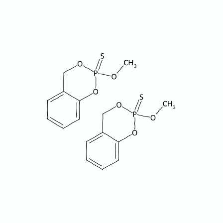 COP1(=S)OCc2ccccc2O1.COP1(=S)OCc2ccccc2O1